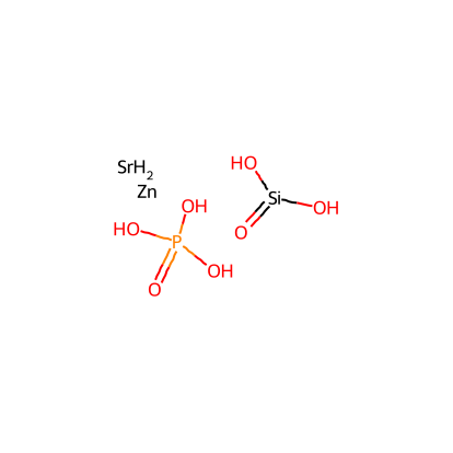 O=P(O)(O)O.O=[Si](O)O.[SrH2].[Zn]